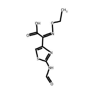 CCO/N=C(\C(=O)O)c1csc(NC=O)n1